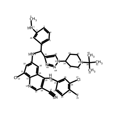 CNc1cccc(C(Nc2cc(Cl)c3ncc(C#N)c(Nc4ccc(F)c(Cl)c4)c3c2)c2cn(C3CCN(C(C)(C)C)CC3)nn2)c1